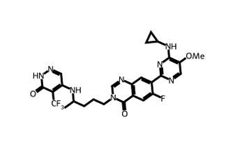 COc1cnc(-c2cc3ncn(CCCC(C)Nc4cn[nH]c(=O)c4C(F)(F)F)c(=O)c3cc2F)nc1NC1CC1